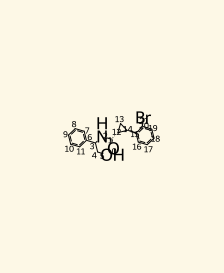 O=C(NC(CO)c1ccccc1)[C@@H]1C[C@H]1c1ccccc1Br